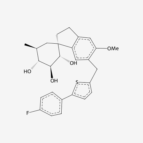 COc1cc2c(cc1Cc1ccc(-c3ccc(F)cc3)s1)[C@]1(CC2)C[C@H](C)[C@@H](O)[C@H](O)[C@H]1O